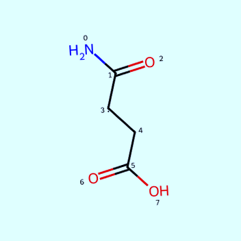 NC(=O)[CH]CC(=O)O